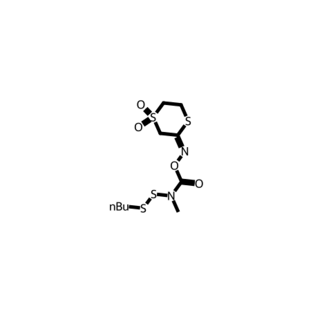 CCCCSSN(C)C(=O)ON=C1CS(=O)(=O)CCS1